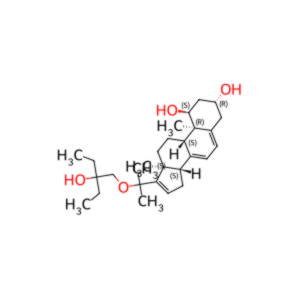 CCC(O)(CC)COC(C)(C)C1=CC[C@H]2C3=CC=C4C[C@@H](O)C[C@H](O)[C@]4(C)[C@H]3CC[C@]12C